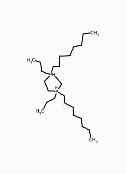 CCCCCCCC[PH]1(CCC)CC[PH](CCC)(CCCCCCCC)CC1